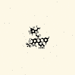 C[C@@H]1[C@@H]2c3c(C(F)F)nn(CC(=O)N[C@@H](Cc4cc(F)cc(F)c4)c4nc5cn[nH]c5cc4-c4ccc(Cl)c5c(NS(C)(=O)=O)nn(C)c45)c3C(F)(F)[C@H]12